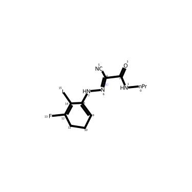 CCCNC(=O)/C(C#N)=N/NC1=CCCC(F)=C1I